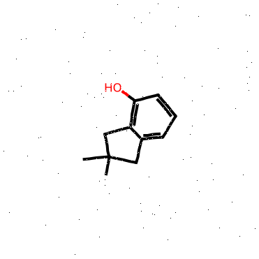 CC1(C)Cc2cccc(O)c2C1